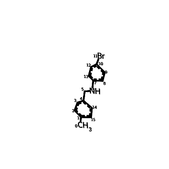 Cc1ccc(CNc2ccc(Br)cc2)cc1